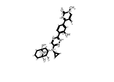 Cn1cc(F)c(-c2ccc(-c3ncc(N(C4CC4)[C@H]4C[C@@H]5CCC[C@@H](N5)[C@H]4F)nn3)c(O)c2)nc1=O